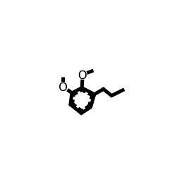 CCCc1cccc(OC)c1OC